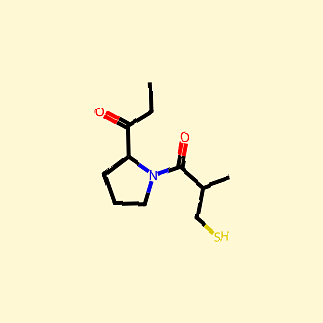 CCC(=O)C1CCCN1C(=O)C(C)CS